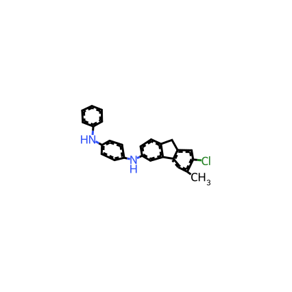 Cc1cc2c(cc1Cl)Cc1ccc(Nc3ccc(Nc4ccccc4)cc3)cc1-2